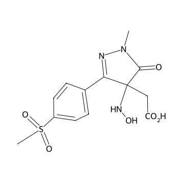 CN1N=C(c2ccc(S(C)(=O)=O)cc2)C(CC(=O)O)(NO)C1=O